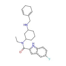 CCN(C(=O)c1cc2cc(F)ccc2[nH]1)C1CCCC(NCC2=CCCC=C2)C1